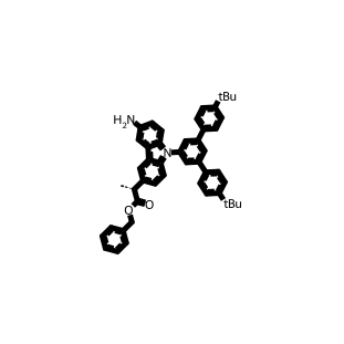 C[C@@H](C(=O)OCc1ccccc1)c1ccc2c(c1)c1cc(N)ccc1n2-c1cc(-c2ccc(C(C)(C)C)cc2)cc(-c2ccc(C(C)(C)C)cc2)c1